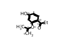 C=C(C)Oc1cc(O)ccc1C(=O)CC